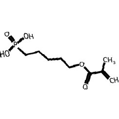 C=C(C)C(=O)OCCCCCP(=O)(O)O